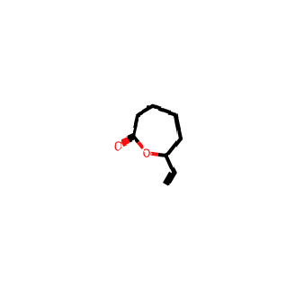 C=CC1CCCCC(=O)O1